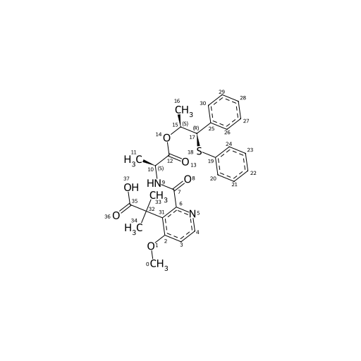 COc1ccnc(C(=O)N[C@@H](C)C(=O)O[C@@H](C)[C@H](Sc2ccccc2)c2ccccc2)c1C(C)(C)C(=O)O